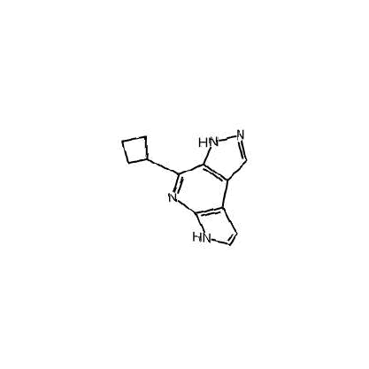 c1cc2c(nc(C3CCC3)c3[nH]ncc32)[nH]1